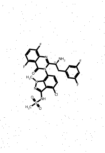 Cn1nc(NS(C)(=O)=O)c2c(Cl)ccc(-n3c([C@@H](N)Cc4cc(F)cc(F)c4)nc4c(F)ccc(F)c4c3=O)c21